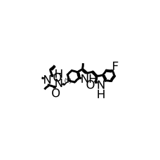 C=CC(=O)N(C)C(C)C(=O)NC[C@H]1CCc2c([nH]c(C=C3C(=O)Nc4ccc(F)cc43)c2C)C1